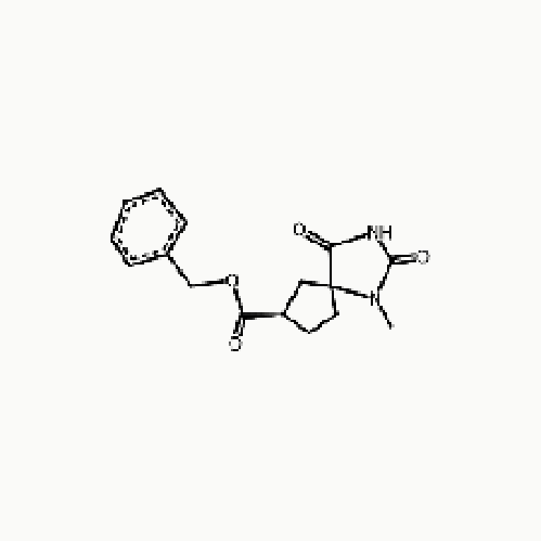 CN1C(=O)NC(=O)C12CC[C@@H](C(=O)OCc1ccccc1)C2